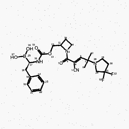 CC(C)(C=C(C#N)C(=O)N1CCC1COC(=O)N[C@@H](Cc1ccccc1)B(O)O)N1CCC(F)(F)C1